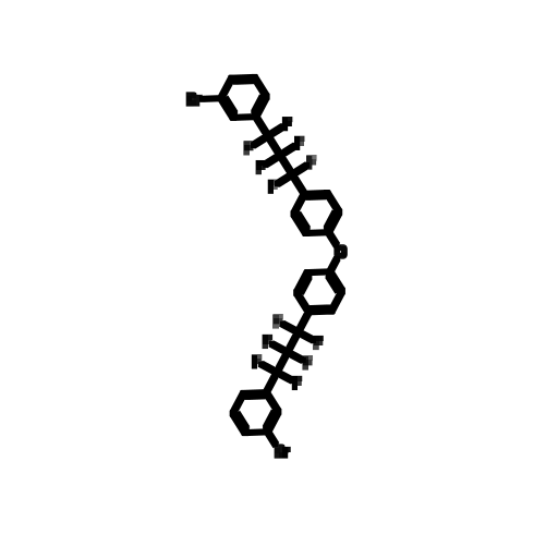 FC(F)(c1ccc(Oc2ccc(C(F)(F)C(F)(F)C(F)(F)c3cccc(Br)c3)cc2)cc1)C(F)(F)C(F)(F)c1cccc(Br)c1